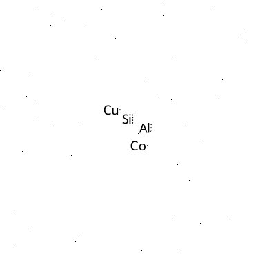 [Al].[Co].[Cu].[Si]